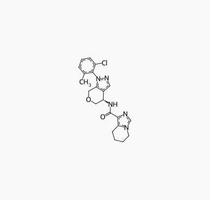 Cc1cccc(Cl)c1-n1ncc2c1COC[C@@H]2NC(=O)c1ncn2c1CCCC2